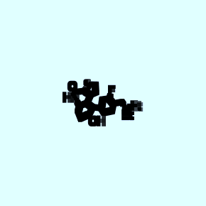 CCN(CC)Cc1ccc(-c2c(O)ccc3[nH]c(=O)c4sccc4c23)cc1F